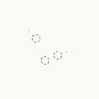 COc1cccc([C@@H](C)NCc2ccc(OC)c(-c3ccc(C(F)(F)F)nc3)c2)c1